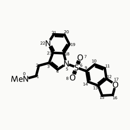 CNCCc1cn(S(=O)(=O)c2ccc3c(c2)CCO3)c2cccnc12